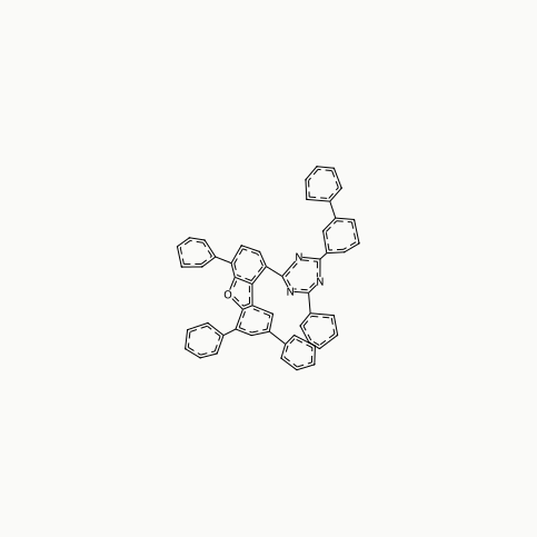 c1ccc(-c2cccc(-c3nc(-c4ccccc4)nc(-c4ccc(-c5ccccc5)c5oc6c(-c7ccccc7)cc(-c7ccccc7)cc6c45)n3)c2)cc1